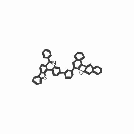 c1ccc(-c2nc3cc(-c4cccc(-c5cc6ccccc6c6c5oc5cc7ccccc7cc56)c4)ccc3c3c2ccc2c4ccccc4sc23)cc1